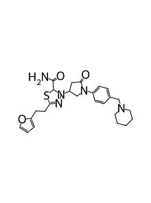 NC(=O)C1SC(CCc2ccco2)=NN1C1CC(=O)N(c2ccc(CN3CCCCC3)cc2)C1